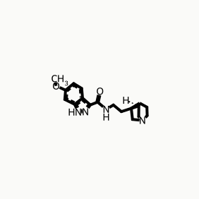 COc1ccc2c(C(=O)NCC[C@@H]3CN4CCC3CC4)n[nH]c2c1